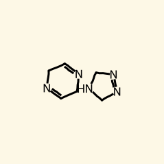 C1=NCC=NC1.C1N=NCN1